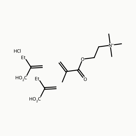 C=C(C)C(=O)OCC[N+](C)(C)C.C=C(CC)C(=O)O.C=C(CC)C(=O)O.Cl